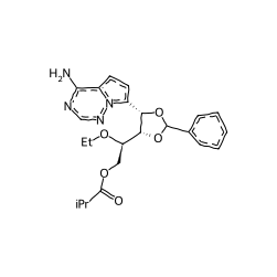 CCO[C@H](COC(=O)C(C)C)[C@H]1OC(c2ccccc2)O[C@H]1c1ccc2c(N)ncnn12